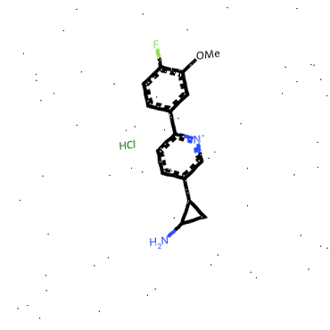 COc1cc(-c2ccc(C3CC3N)cn2)ccc1F.Cl